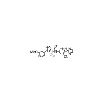 COc1cc(-n2ncc(C(=O)NC3=CC(C#N)=C(n4nccn4)NC3)c2C(F)(F)F)ccn1